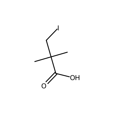 CC(C)(CI)C(=O)O